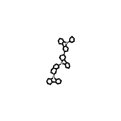 c1ccc(-n2c3ccccc3c3cc(-c4ccc5c(c4)c4ccccc4n5-c4ccc5ccc(-n6c7ccccc7c7ccccc76)cc5c4)ccc32)cc1